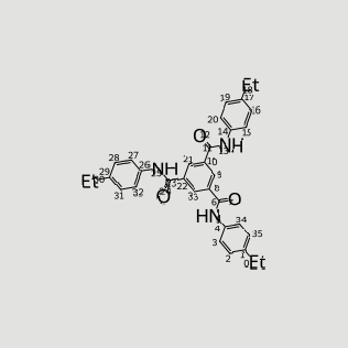 CCc1ccc(NC(=O)c2cc(C(=O)Nc3ccc(CC)cc3)cc(C(=O)Nc3ccc(CC)cc3)c2)cc1